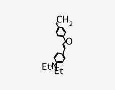 C=Cc1ccc(C(=O)C=Cc2ccc(N(CC)CC)cc2)cc1